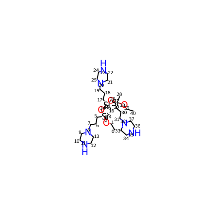 CCO[Si](C)(CCCN1CCNCC1)O[Si](C)(CCCN1CCNCC1)O[Si](C)(CCCN1CCNCC1)OCC